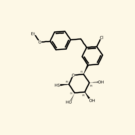 CCOc1ccc(Cc2cc([C@@H]3O[C@H](S)[C@@H](O)[C@H](O)[C@H]3O)ccc2Cl)cc1